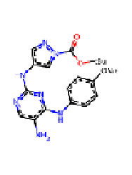 COc1ccc(Nc2nc(Nc3cnn(C(=O)OC(C)(C)C)c3)ncc2N)cc1